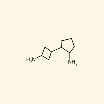 N[C]1CCCC1C1CC(N)C1